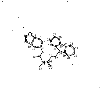 CC(Cc1ccc2occc2c1)N(C)C(=O)CCC1c2ccccc2-c2ccccc21